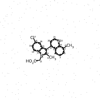 Cc1cccc2c(-c3c(C)n(CC(=O)O)c4ccc(Cl)cc34)ccnc12